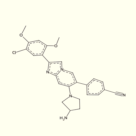 COc1cc(OC)c(-c2cn3cc(-c4ccc(C#N)cc4)c(N4CCC(N)C4)cc3n2)cc1Cl